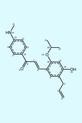 C=CCc1cc(C=CC(=O)c2ccc(NC)cc2)c(OC(C)C)cc1O